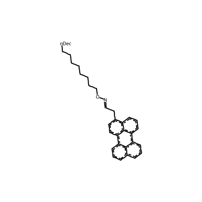 CCCCCCCCCCCCCCCCCCON=CCc1ccc2c3cccc4cccc(c5cccc1c52)c43